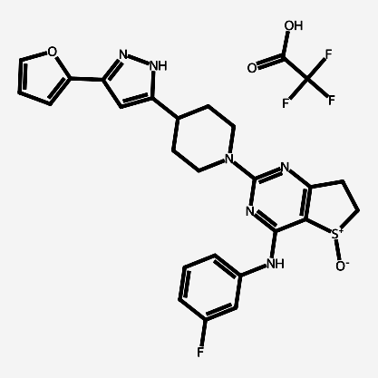 O=C(O)C(F)(F)F.[O-][S+]1CCc2nc(N3CCC(c4cc(-c5ccco5)n[nH]4)CC3)nc(Nc3cccc(F)c3)c21